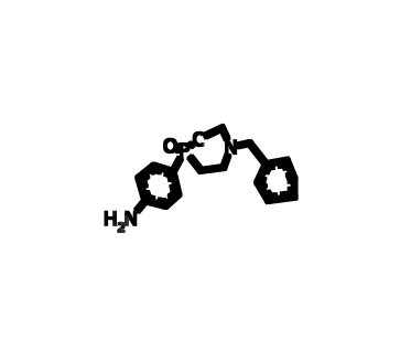 Nc1ccc(P2(=O)CCN(Cc3ccccc3)CC2)cc1